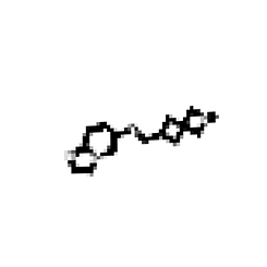 c1cn2cc(OCC3CC4(CNC4)C3)ccc2n1